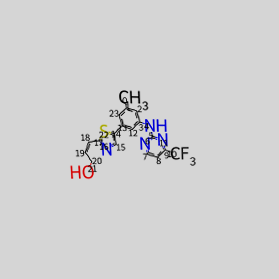 Cc1cc(Nc2nccc(C(F)(F)F)n2)cc(-c2cnc(/C=C\CO)s2)c1